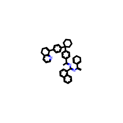 C=C(/N=C(\N=C(/C)c1ccc(C2(c3ccc(C4=CCCc5cccnc54)cc3)CCCCC2)cc1)c1cccc2ccccc12)C1=CCCC=C1